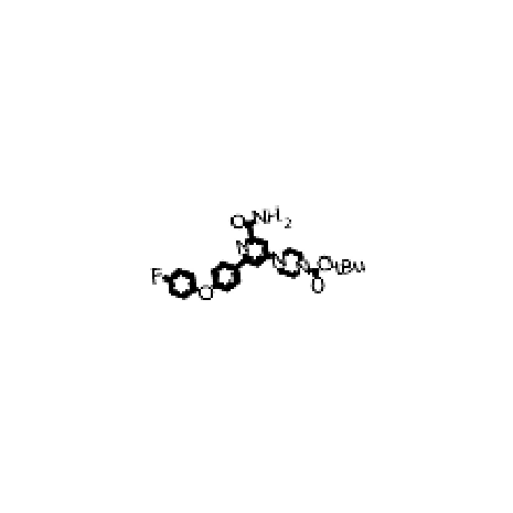 CC(C)(C)OC(=O)N1CCN(c2cc(C(N)=O)nc(-c3ccc(Oc4ccc(F)cc4)cc3)c2)CC1